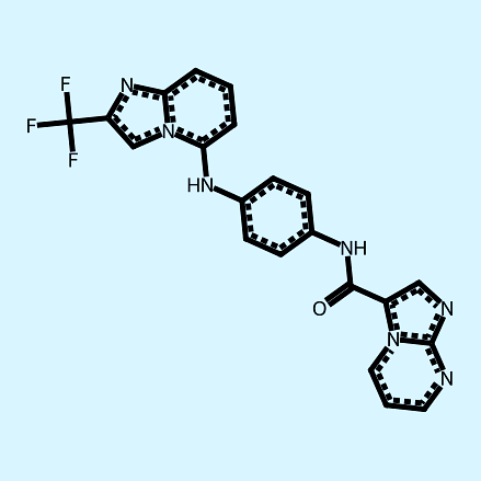 O=C(Nc1ccc(Nc2cccc3nc(C(F)(F)F)cn23)cc1)c1cnc2ncccn12